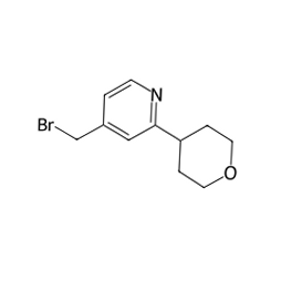 BrCc1ccnc(C2CCOCC2)c1